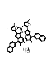 Cc1ccc(C2=Cc3c(cc(C)c(C)c3-c3ccc4ccccc4c3)[CH]2[Zr]([CH]2C(c3ccc(C)o3)=Cc3c2cc(C)c(C)c3-c2ccc3ccccc3c2)=[Si](C)C)o1.Cl.Cl